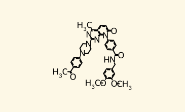 COc1ccc(CNC(=O)c2ccc(-n3c(=O)ccc4c(C)nc(N5CCN(c6ccc(C(C)=O)cc6)CC5)nc43)cc2)cc1OC